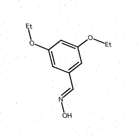 CCOc1cc(/C=N/O)cc(OCC)c1